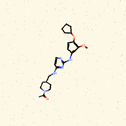 COc1cc(Nc2nccc(NCC3CCN(C(C)=O)CC3)n2)ccc1OC1CCCC1